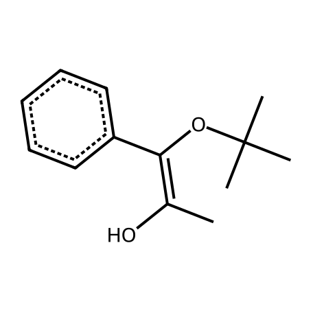 CC(O)=C(OC(C)(C)C)c1ccccc1